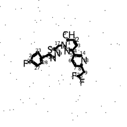 C=C1C=CC(c2ccc(CC(F)F)nc2)=NN1Cc1nnc(-c2ccc(F)cc2)s1